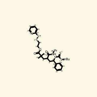 CCCCSC(=S)SC(CC(CC(C)(C)C(=O)OCCSSc1ccccn1)C(=O)NC(C)C)c1ccccc1